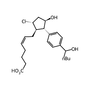 CCCCC(O)c1ccc([C@@H]2[C@@H](C/C=C\CCCC(=O)O)[C@H](Cl)C[C@H]2O)cc1